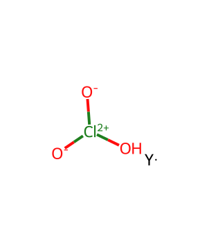 [O-][Cl+2]([O-])O.[Y]